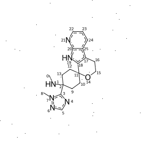 CNC1(c2ncnn2C)CCC2(CC1)OCCc1c2[nH]c2ncccc12